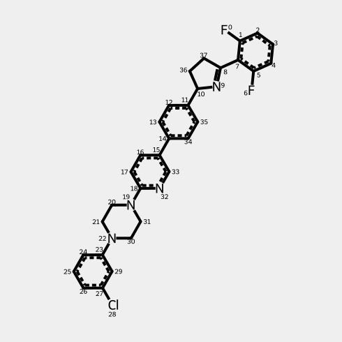 Fc1cccc(F)c1C1=NC(c2ccc(-c3ccc(N4CCN(c5cccc(Cl)c5)CC4)nc3)cc2)CC1